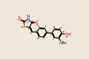 CC(C)(C)c1cc(-c2ccc(C=C3SC(=O)NC3=O)cc2)ccc1O